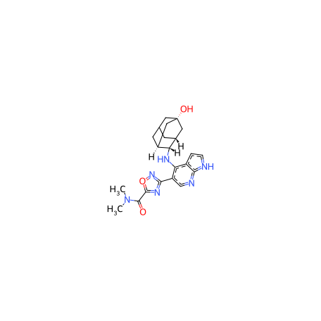 CN(C)C(=O)c1nc(-c2cnc3[nH]ccc3c2N[C@H]2[C@@H]3CC4C[C@H]2C[C@@](O)(C4)C3)no1